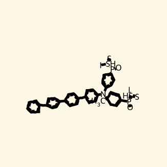 CC1(N(c2ccc(-c3ccc(-c4ccc(-c5ccccc5)cc4)cc3)cc2)c2ccc(P(=O)=[SH](=S)I)cc2)C=CC(P(=O)=[SH](=S)I)=CC1